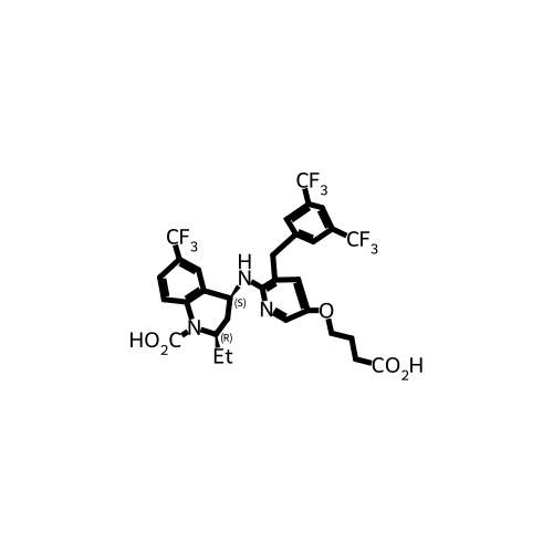 CC[C@@H]1C[C@H](Nc2ncc(OCCCC(=O)O)cc2Cc2cc(C(F)(F)F)cc(C(F)(F)F)c2)c2cc(C(F)(F)F)ccc2N1C(=O)O